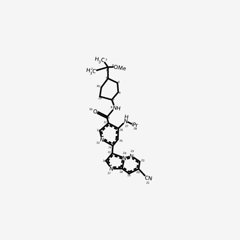 COC(C)(C)C1CCC(NC(=O)c2cnc(-c3cnc4cc(C#N)cnn34)cc2NC(C)C)CC1